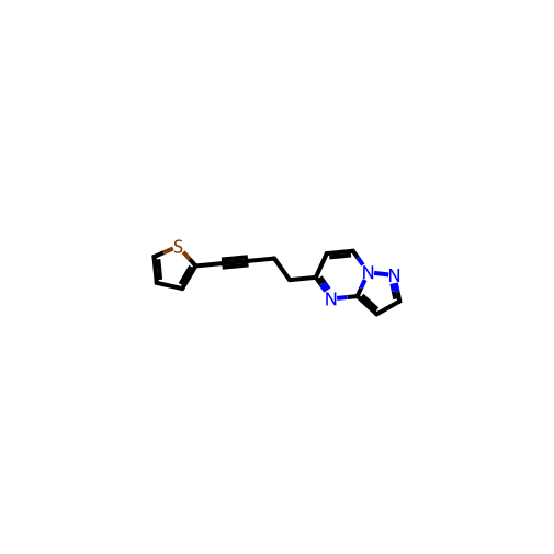 C(#Cc1cccs1)CCc1ccn2nccc2n1